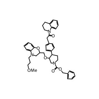 COCCCN1CC(COC2CN(C(=O)OCc3ccccc3)CCC2c2ccc(CC(=O)N3CCCc4ccccc43)cc2)Oc2ccccc21